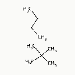 CC(C)(C)P.CCCC